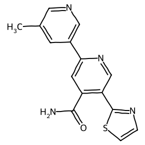 Cc1cncc(-c2cc(C(N)=O)c(-c3nccs3)cn2)c1